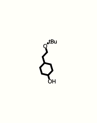 CC(C)(C)OCCC1CCC(O)CC1